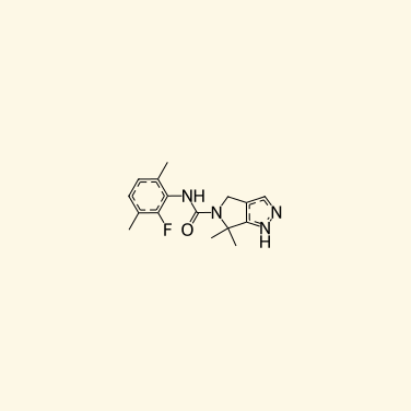 Cc1ccc(C)c(NC(=O)N2Cc3cn[nH]c3C2(C)C)c1F